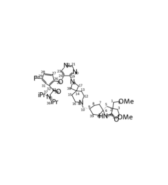 COCC1(COC)C[C@]2(CC[C@@H](CN3CCC4(CC3)CN(c3ncncc3Oc3ccc(F)cc3C(=O)N(C(C)C)C(C)C)C4)CC2)NC1=O